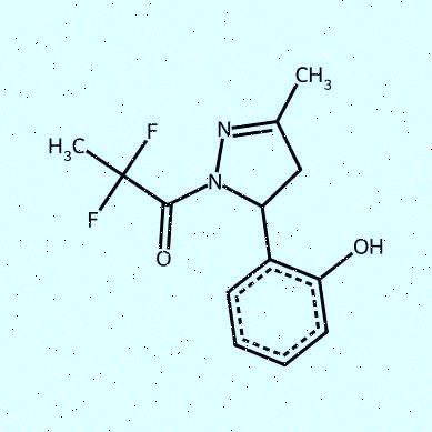 CC1=NN(C(=O)C(C)(F)F)C(c2ccccc2O)C1